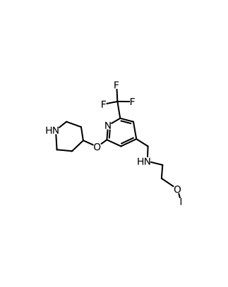 FC(F)(F)c1cc(CNCCOI)cc(OC2CCNCC2)n1